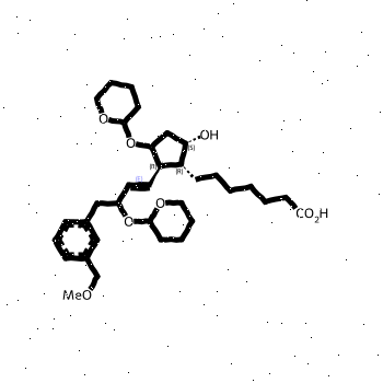 COCc1cccc(CC(/C=C/[C@H]2C(OC3CCCCO3)C[C@H](O)[C@@H]2CCCCCCC(=O)O)OC2CCCCO2)c1